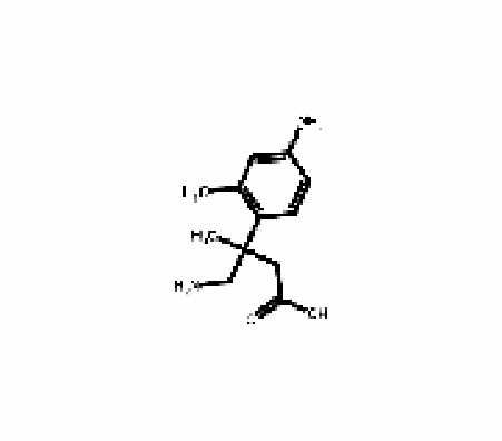 Cc1cc(N)ccc1C(C)(CN)CC(=O)O